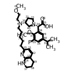 COCCN(CCCCCc1ccc2c(n1)NCCC2)[C@@H]1CCN([C@H](C(=O)O)c2cc(C(C)C)cc(F)c2OC)C1